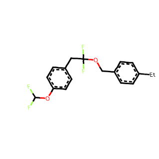 CCc1ccc(COC(F)(F)Cc2ccc(OC(F)F)cc2)cc1